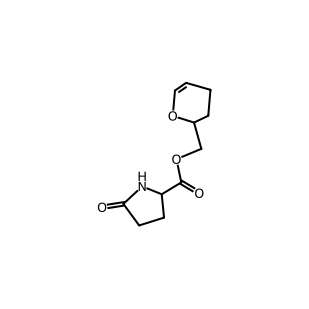 O=C1CCC(C(=O)OCC2CCC=CO2)N1